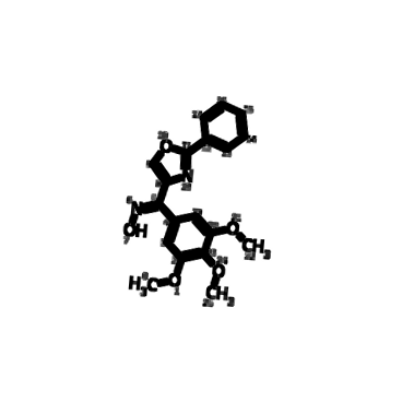 COc1cc(/C(=N\O)c2coc(-c3ccccc3)n2)cc(OC)c1OC